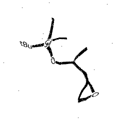 C[C@H](O[Si](C)(C)C(C)(C)C)C1CO1